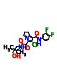 CC(C)(CO)CNC(=O)C(=O)c1c(Cl)c(C(=O)Nc2ccc(F)c(F)c2)c2n1CCC2